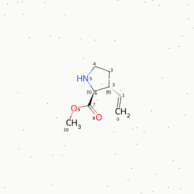 C=C[C@H]1CCN[C@@H]1C(=O)OC